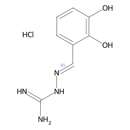 Cl.N=C(N)N/N=C/c1cccc(O)c1O